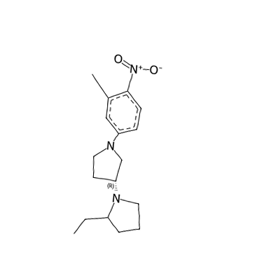 CCC1CCCN1[C@@H]1CCN(c2ccc([N+](=O)[O-])c(C)c2)C1